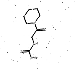 CNC(=O)NCC(=O)N1CCCCC1